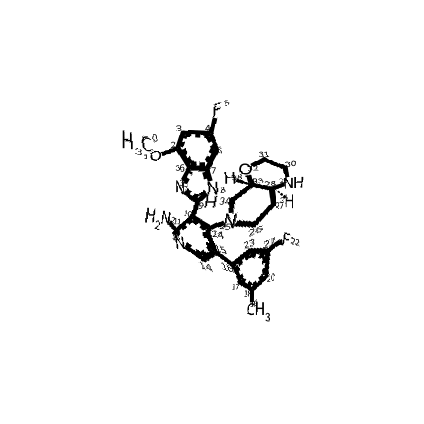 COc1cc(F)cc2[nH]c(-c3c(N)ncc(-c4cc(C)cc(F)c4)c3N3CC[C@@H]4NCCO[C@H]4C3)nc12